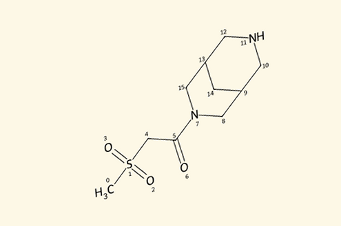 CS(=O)(=O)CC(=O)N1CC2CNCC(C2)C1